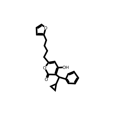 O=c1oc(CCCCc2ccco2)cc(O)c1C(c1ccccc1)C1CC1